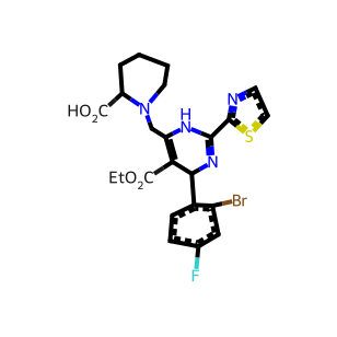 CCOC(=O)C1=C(CN2CCCCC2C(=O)O)NC(c2nccs2)=NC1c1ccc(F)cc1Br